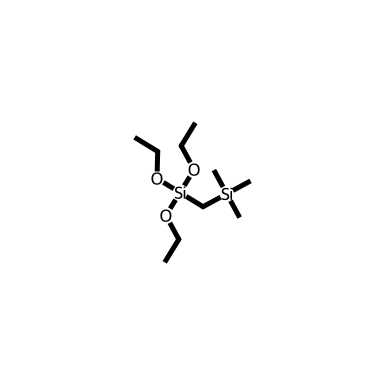 CCO[Si](C[Si](C)(C)C)(OCC)OCC